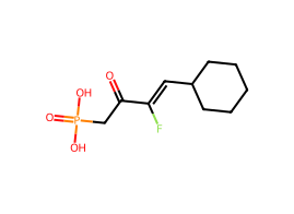 O=C(CP(=O)(O)O)/C(F)=C/C1CCCCC1